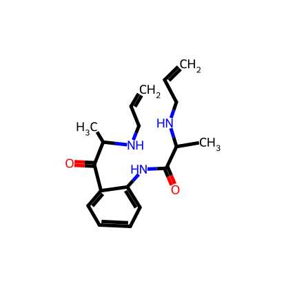 C=CCNC(C)C(=O)Nc1ccccc1C(=O)C(C)NCC=C